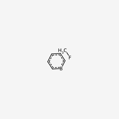 CF.b1ccccc1